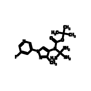 BC(B)(B)N(C(=O)OC(C)(C)C)c1cn(-c2cncc(F)c2)nc1C